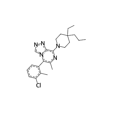 CCCC1(CC)CCN(c2nc(C)c(-c3cccc(Cl)c3C)n3cnnc23)CC1